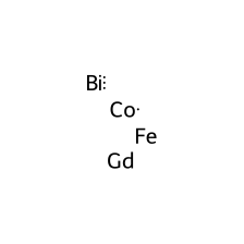 [Bi].[Co].[Fe].[Gd]